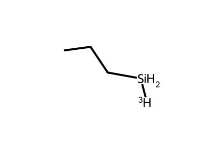 [3H][SiH2]CCC